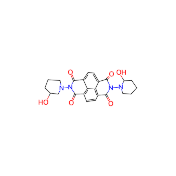 O=C1c2ccc3c4c(ccc(c24)C(=O)N1N1CCCC(O)C1)C(=O)N(N1CCCCC1O)C3=O